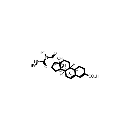 CC(C)NC(=O)N(C(=O)[C@H]1CC[C@H]2[C@@H]3CC=C4C=C(C(=O)O)CC[C@]4(C)[C@H]3CC[C@]12C)C(C)C